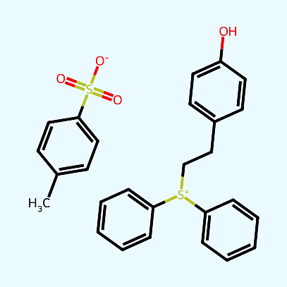 Cc1ccc(S(=O)(=O)[O-])cc1.Oc1ccc(CC[S+](c2ccccc2)c2ccccc2)cc1